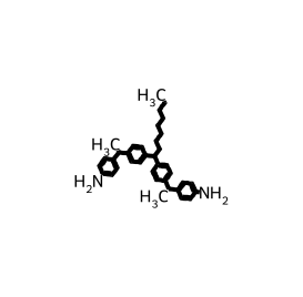 CCCCCCCCC(c1ccc(C(C)c2ccc(N)cc2)cc1)c1ccc(C(C)c2ccc(N)cc2)cc1